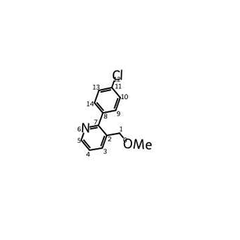 COCc1cccnc1-c1ccc(Cl)cc1